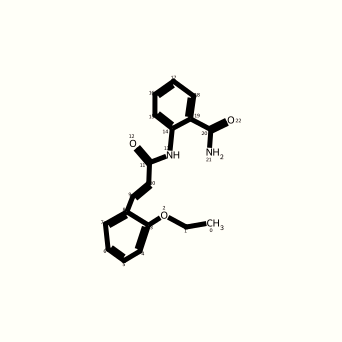 CCOc1ccccc1/C=C/C(=O)Nc1ccccc1C(N)=O